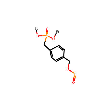 CCOP(=O)(Cc1ccc(COP=O)cc1)OCC